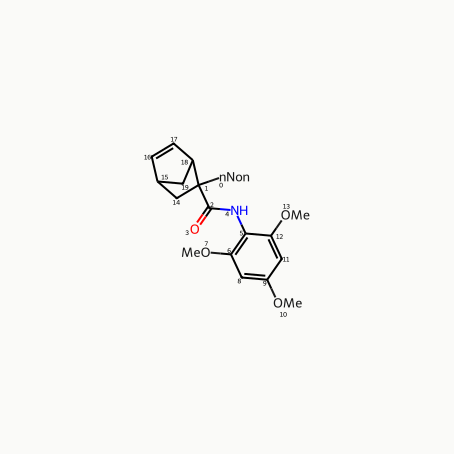 CCCCCCCCCC1(C(=O)Nc2c(OC)cc(OC)cc2OC)CC2C=CC1C2